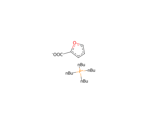 CCCC[P+](CCCC)(CCCC)CCCC.O=C([O-])c1ccco1